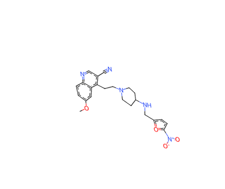 COc1ccc2ncc(C#N)c(CCN3CCC(NCc4ccc([N+](=O)[O-])o4)CC3)c2c1